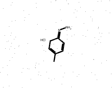 CC1=CCC(=NN)C=C1.Cl